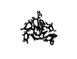 CC1CCC(Cn2c(N3CCCC3c3ccccc3)nc3nc(-c4noc(=O)[nH]4)nc(N[C@H](C)C4CCC4)c32)CC1